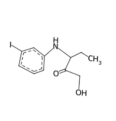 CCC(Nc1cccc(I)c1)C(=O)CO